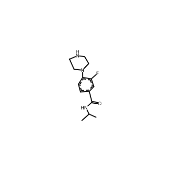 CC(C)NC(=O)c1ccc(N2CCNCC2)c(F)c1